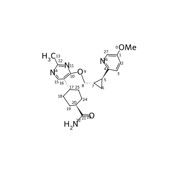 COc1ccc([C@H]2C[C@@H]2COc2nc(C)ncc2[C@H]2CC[C@H](C(N)=O)CC2)nc1